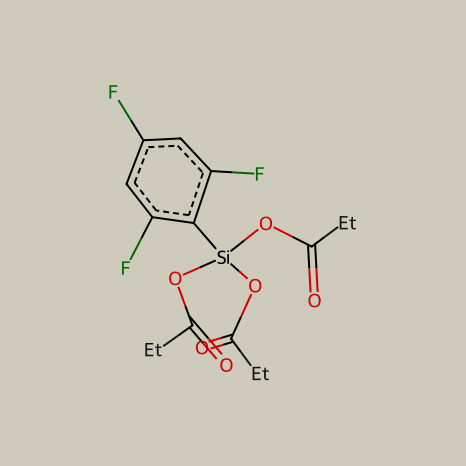 CCC(=O)O[Si](OC(=O)CC)(OC(=O)CC)c1c(F)cc(F)cc1F